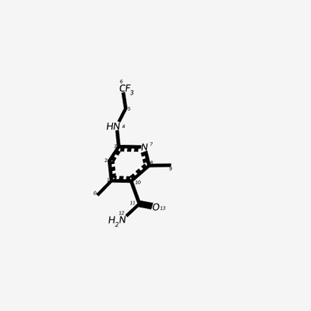 Cc1cc(NCC(F)(F)F)nc(C)c1C(N)=O